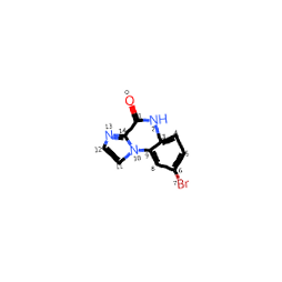 O=c1[nH]c2ccc(Br)cc2n2ccnc12